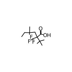 CCC(C)(C)CC(C(=O)O)(C(C)(C)C)C(F)(F)F